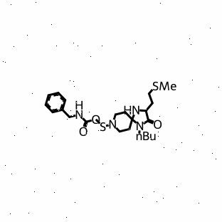 CCCCN1C(=O)C(CCSC)NC12CCN(SOC(=O)NCc1ccccc1)CC2